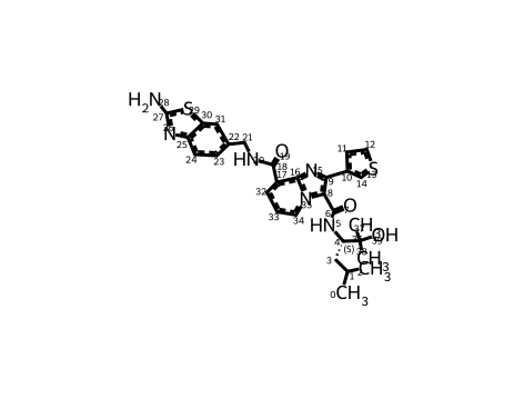 CC(C)C[C@H](NC(=O)c1c(-c2ccsc2)nc2c(C(=O)NCc3ccc4nc(N)sc4c3)cccn12)C(C)(C)O